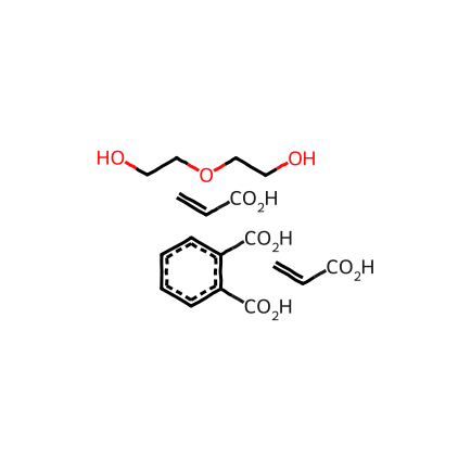 C=CC(=O)O.C=CC(=O)O.O=C(O)c1ccccc1C(=O)O.OCCOCCO